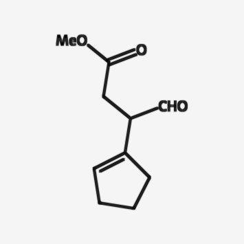 COC(=O)CC(C=O)C1=CCCC1